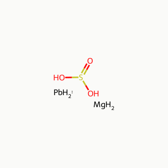 O=S(O)O.[MgH2].[PbH2]